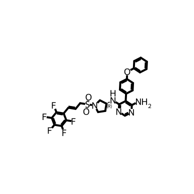 Nc1ncnc(N[C@@H]2CCN(S(=O)(=O)CC=Cc3c(F)c(F)c(F)c(F)c3F)C2)c1-c1ccc(Oc2ccccc2)cc1